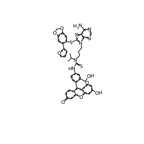 CC(C)N(CCCn1c(Sc2cc3c(cc2-c2ccco2)OCO3)nc2c(N)ncnc21)C(=S)Nc1ccc(-c2c3ccc(=O)cc-3oc3cc(O)ccc23)c(C(=O)O)c1